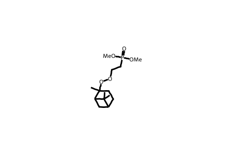 COP(=O)(CCOOC1(C)CCC2CC1C2(C)C)OC